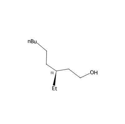 CCCCCC[C@H](CC)CCO